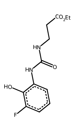 CCOC(=O)CCNC(=O)Nc1cccc(F)c1O